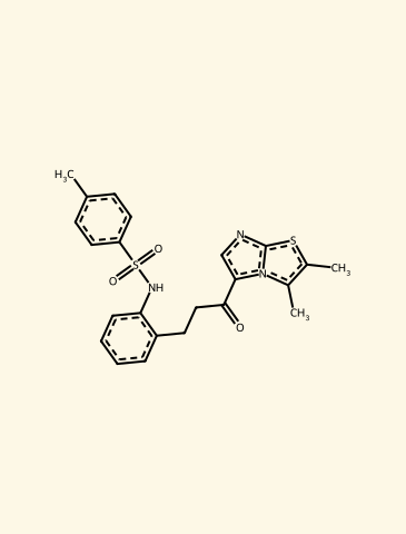 Cc1ccc(S(=O)(=O)Nc2ccccc2CCC(=O)c2cnc3sc(C)c(C)n23)cc1